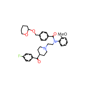 COc1ccccc1N(CCN1CCC(C(=O)c2ccc(F)cc2)CC1)C(=O)c1ccc(COC2CCCCO2)cc1